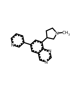 CN1CCC(c2cc(-c3cccnc3)cc3cncnc23)C1